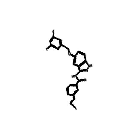 O=C(Nc1n[nH]c2ccc(OCc3cc(F)cc(F)c3)cc12)c1cccc(CCI)c1